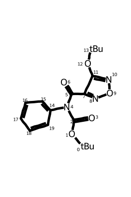 CC(C)(C)OC(=O)N(C(=O)c1nonc1OC(C)(C)C)c1ccccc1